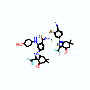 CC1(C)CC(=O)c2c(C(F)F)nn(-c3ccc(C#N)c(Br)c3)c2C1.CC1(C)CC(=O)c2c(C(F)F)nn(-c3ccc(C(N)=O)c(NC4CCC(O)CC4)c3)c2C1